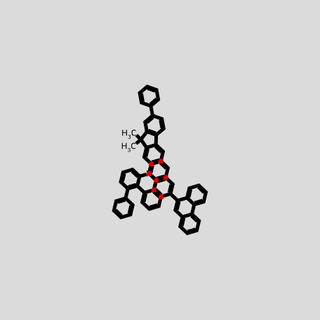 CC1(C)c2cc(-c3ccccc3)ccc2-c2ccc(N(c3ccc(-c4cc5ccccc5c5ccccc45)cc3)c3cccc(-c4ccccc4)c3-c3ccccc3-c3ccccc3)cc21